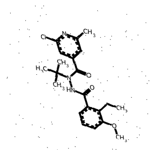 CCc1c(OC)cccc1C(=O)NN(C(=O)c1cc(C)nc(Cl)c1)C(C)(C)C